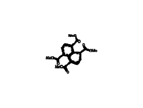 COC(=O)c1ccc(C(=O)OC)c2c(C(=O)OC)ccc(C(=O)OC)c12